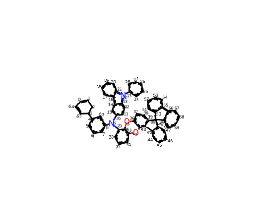 C1=CCC(c2cccc(N(c3ccc4c(c3)c3ccccc3n4-c3ccccc3)c3cccc4c3Oc3ccc5c(c3O4)-c3ccccc3C53c4ccccc4-c4ccccc43)c2)C=C1